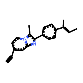 C#Cc1ccn2c(C)c(-c3ccc(/C(C)=C/C)cc3)nc2c1